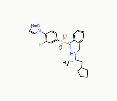 C[C@@H](CC1CCCC1)NCc1ccccc1NS(=O)(=O)c1ccc(-n2ccnn2)c(F)c1